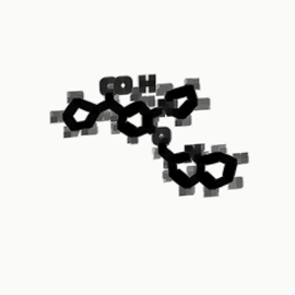 O=C(O)C(c1ccc(OCc2ccc3ccccc3n2)c(-n2cccc2)c1)C1CCCC1